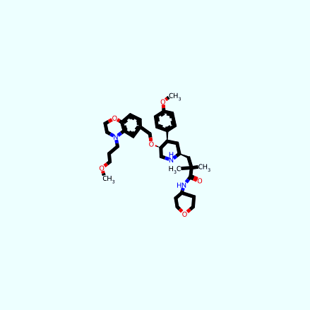 COCCCN1CCOc2ccc(CO[C@H]3CN[C@H](CC(C)(C)C(=O)NC4CCOCC4)C[C@@H]3c3ccc(OC)cc3)cc21